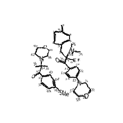 CCC(Cc1ccc(C)cc1)(C(=O)c1ccc(N2CCOCC2)cc1)N(C)C.CSc1ccc(C(=O)C(C)(C)N2CCOCC2)cc1